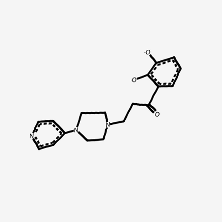 [O]c1cccc(C(=O)CCN2CCN(c3ccncc3)CC2)c1[O]